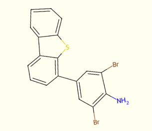 Nc1c(Br)cc(-c2cccc3c2sc2ccccc23)cc1Br